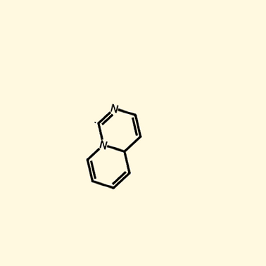 [C]1=NC=CC2C=CC=CN12